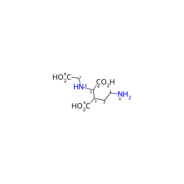 NCCC(C(=O)O)C(NCC(=O)O)C(=O)O